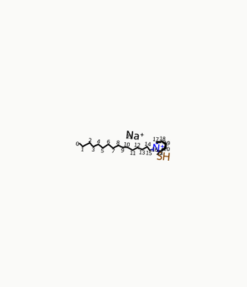 CCCCCCCCCCCCCCCC[n+]1ccccc1S.[Na+]